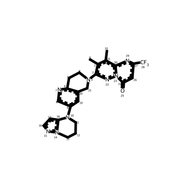 Cc1c(N2CCc3ncc(N4CCCn5nccc54)cc3C2)nn2c(=O)cc(C(F)(F)F)nc2c1C